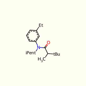 CCCC(C)N(C(=O)C(C)C(C)(C)C)c1cccc(CC)c1